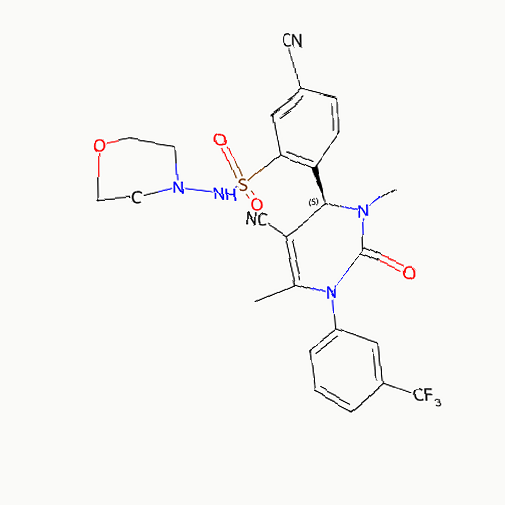 CC1=C(C#N)[C@@H](c2ccc(C#N)cc2S(=O)(=O)NN2CCOCC2)N(C)C(=O)N1c1cccc(C(F)(F)F)c1